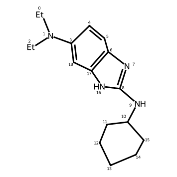 CCN(CC)c1ccc2nc(NC3CCCCC3)[nH]c2c1